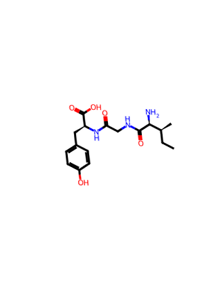 CC[C@H](C)[C@H](N)C(=O)NCC(=O)N[C@@H](Cc1ccc(O)cc1)C(=O)O